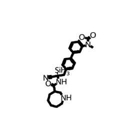 Cn1c(=O)oc2ccc(-c3ccc(C[C@]([SiH3])(C#N)NC(=O)C4CCCCCNC4)cc3)cc21